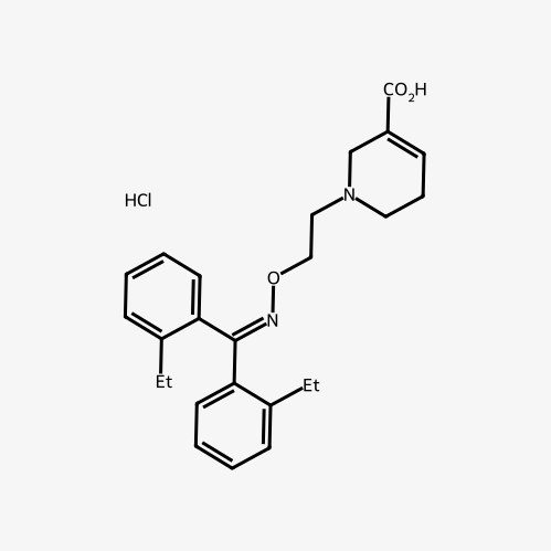 CCc1ccccc1C(=NOCCN1CCC=C(C(=O)O)C1)c1ccccc1CC.Cl